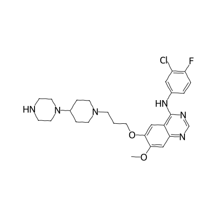 COc1cc2ncnc(Nc3ccc(F)c(Cl)c3)c2cc1OCCCN1CCC(N2CCNCC2)CC1